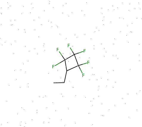 CCC1C(F)(F)C(F)(F)C1(F)F